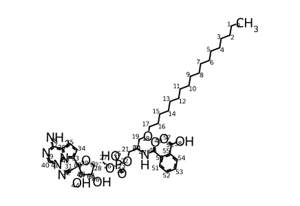 CCCCCCCCCCCCCCCCCCOC[C@H](COP(=O)(O)OC[C@H]1O[C@@](C#N)(c2ccc3c(N)ncnn23)[C@H](O)[C@@H]1O)NC(=O)c1ccccc1C(=O)O